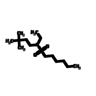 CCCCCCS(=O)(=O)N(CC)CCC(C)(C)C